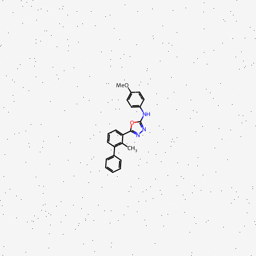 COc1ccc(Nc2nnc(-c3cccc(-c4ccccc4)c3C)o2)cc1